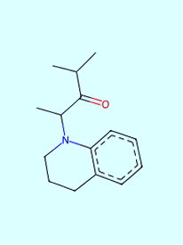 CC(C)C(=O)C(C)N1CCCc2ccccc21